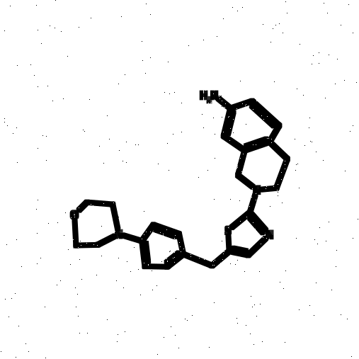 Nc1ccc2c(c1)CN(c1ncc(Cc3ccc(N4CCOCC4)cc3)s1)CC2